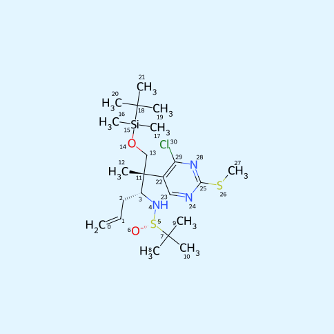 C=CC[C@@H](N[S@@+]([O-])C(C)(C)C)[C@](C)(CO[Si](C)(C)C(C)(C)C)c1cnc(SC)nc1Cl